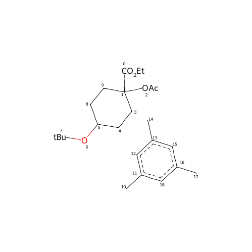 CCOC(=O)C1(OC(C)=O)CCC(OC(C)(C)C)CC1.Cc1cc(C)cc(C)c1